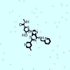 CNC(=O)[C@@H]1C[C@@H](O)[C@H](n2cnc3c(NCc4ccccn4)nc(-c4cncc(C)c4)nc32)S1